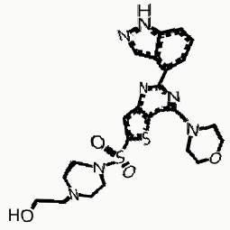 O=S(=O)(c1cc2nc(-c3cccc4[nH]ncc34)nc(N3CCOCC3)c2s1)N1CCN(CCO)CC1